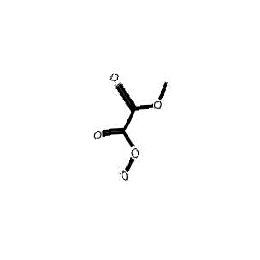 COC(=O)C(=O)O[O]